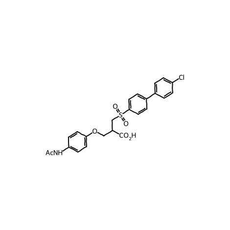 CC(=O)Nc1ccc(OCC(CS(=O)(=O)c2ccc(-c3ccc(Cl)cc3)cc2)C(=O)O)cc1